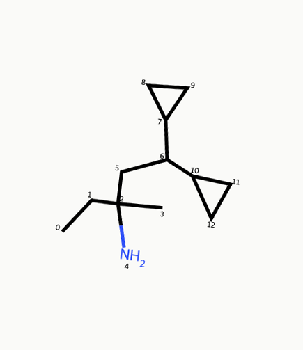 CCC(C)(N)CC(C1CC1)C1CC1